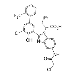 CC(C)CC(C(=O)O)n1c(-c2cc(-c3ccccc3C(F)(F)F)cc(Cl)c2O)nc2cc(NC(=O)CCl)ccc21